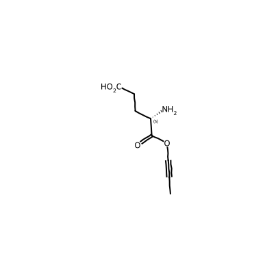 CC#COC(=O)[C@@H](N)CCC(=O)O